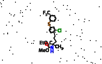 CCOC(=O)C(C)(CCCc1ccc(Sc2cccc(C(F)(F)F)c2)cc1Cl)NC(=O)OC